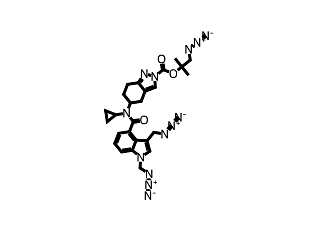 CC(C)(CN=[N+]=[N-])OC(=O)n1cc2c(n1)CCC(N(C(=O)c1cccc3c1c(CN=[N+]=[N-])cn3CN=[N+]=[N-])C1CC1)C2